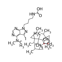 CC1CC(C2(C3CC(C)C4CC43C(C)C)CC(C)C3CC32C(C)C)C2(C(C)C)CC12.CN(C)c1ncnc2c1c(I)nn2CCCCNC(=O)O